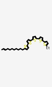 C/C=C/CCCCCCCCc1ccc(-c2ccc(-c3ccc(-c4ccc(-c5ccc(CC)s5)s4)s3)s2)s1